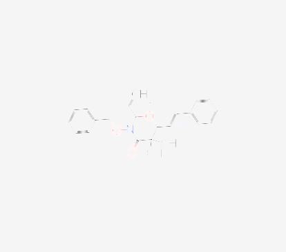 C=CC1OC(/C=C/c2ccccc2)C(C)(C)C(=O)N1OCc1ccccc1